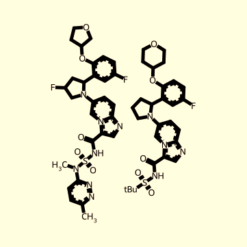 CC(C)(C)S(=O)(=O)NC(=O)c1cnc2ccc(N3CCCC3c3cc(F)ccc3OC3CCOCC3)cn12.Cc1ccc(N(C)S(=O)(=O)NC(=O)c2cnc3ccc(N4CC(F)CC4c4cc(F)ccc4OC4CCOC4)cn23)nn1